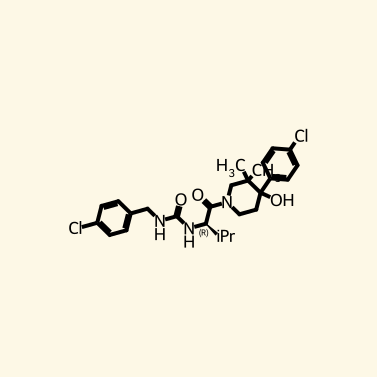 CC(C)[C@@H](NC(=O)NCc1ccc(Cl)cc1)C(=O)N1CCC(O)(c2ccc(Cl)cc2)C(C)(C)C1